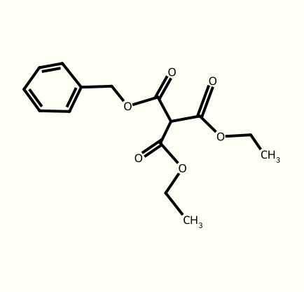 CCOC(=O)C(C(=O)OCC)C(=O)OCc1ccccc1